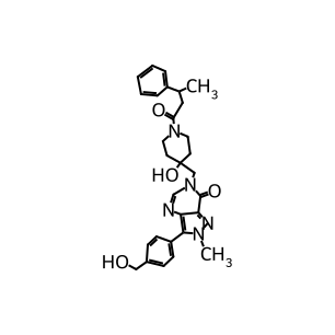 CC(CC(=O)N1CCC(O)(Cn2cnc3c(-c4ccc(CO)cc4)n(C)nc3c2=O)CC1)c1ccccc1